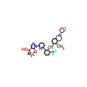 COc1c(C(=O)O)cnn1-c1cccc(-c2cccc(C(F)(F)F)c2OCc2ccc3c(c2C)CCN([C@H]2CCOC2)C3)n1